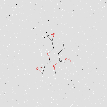 C(OCC1CO1)C1CO1.CCC[SiH2]OC.O